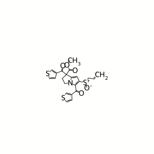 C=CC[S+]([O-])c1cc2n(c1C(=O)c1ccsc1)CCC2(C(=O)OC)C(=O)c1ccsc1